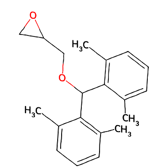 Cc1cccc(C)c1C(OCC1CO1)c1c(C)cccc1C